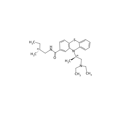 CC[C@@H](C)CNC(=O)c1ccc2c(c1)N([C@H](C)CN(CC)CC)c1ccccc1S2